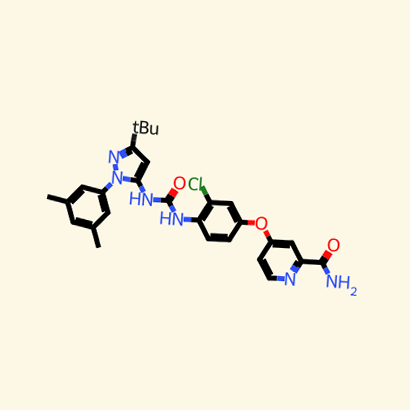 Cc1cc(C)cc(-n2nc(C(C)(C)C)cc2NC(=O)Nc2ccc(Oc3ccnc(C(N)=O)c3)cc2Cl)c1